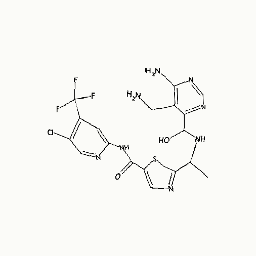 CC(NC(O)c1ncnc(N)c1CN)c1ncc(C(=O)Nc2cc(C(F)(F)F)c(Cl)cn2)s1